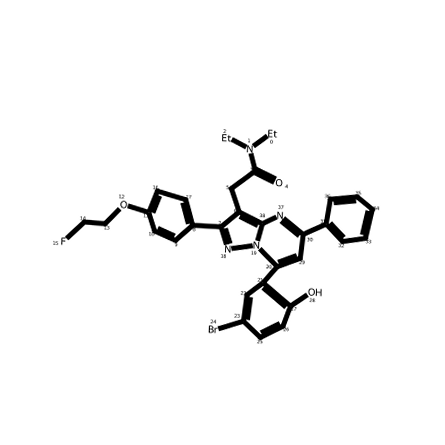 CCN(CC)C(=O)Cc1c(-c2ccc(OCCF)cc2)nn2c(-c3cc(Br)ccc3O)cc(-c3ccccc3)nc12